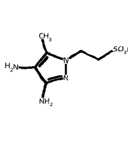 Cc1c(N)c(N)nn1CCS(=O)(=O)O